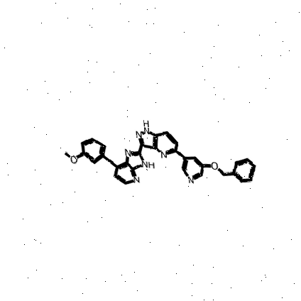 COc1cccc(-c2ccnc3[nH]c(-c4n[nH]c5ccc(-c6cncc(OCc7ccccc7)c6)nc45)nc23)c1